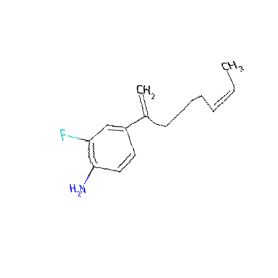 C=C(CC/C=C\C)c1ccc(N)c(F)c1